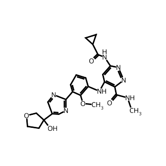 CNC(=O)c1nnc(NC(=O)C2CC2)cc1Nc1cccc(-c2ncc(C3(O)CCOC3)cn2)c1OC